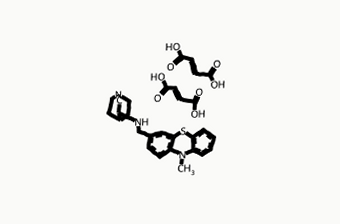 CN1c2ccccc2Sc2cc(CNC3CN4CCC3CC4)ccc21.O=C(O)/C=C/C(=O)O.O=C(O)/C=C/C(=O)O